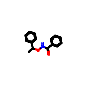 CC(ONC(=O)c1ccccc1)c1ccccc1